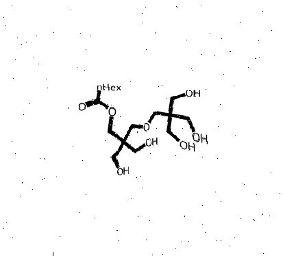 CCCCCCC(=O)OCC(CO)(CO)COCC(CO)(CO)CO